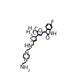 CC1(C)O/C(=C2/C(=O)Nc3cc(F)ccc32)C=C1C1C=C(CNCCN2CCN(CCN)CC2)SC1